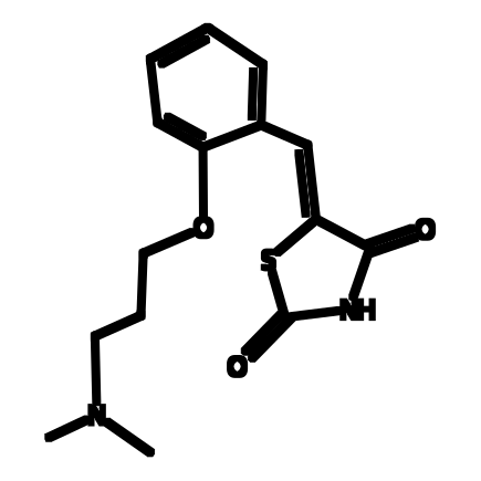 CN(C)CCCOc1ccccc1/C=C1\SC(=O)NC1=O